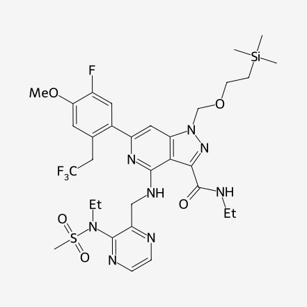 CCNC(=O)c1nn(COCC[Si](C)(C)C)c2cc(-c3cc(F)c(OC)cc3CC(F)(F)F)nc(NCc3nccnc3N(CC)S(C)(=O)=O)c12